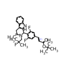 C[C@@H]1Cc2c([nH]c3ccccc23)C(c2c(F)cc(/C=C/C(=O)OC(C)(C)C)cc2F)N1CC(C)(C)F